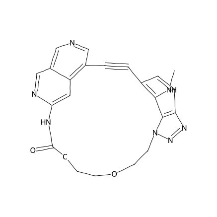 CNc1c2ccc3nnn(c13)CCOCCCC(=O)Nc1cc3c(cncc3cn1)C#C2